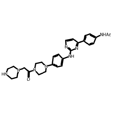 CC(=O)Nc1ccc(-c2ccnc(Nc3ccc(N4CCN(C(=O)CN5CCNCC5)CC4)cc3)n2)cc1